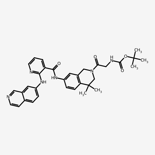 CC(C)(C)OC(=O)NCC(=O)N1Cc2cc(NC(=O)c3cccnc3Nc3ccc4ccncc4c3)ccc2C(C)(C)C1